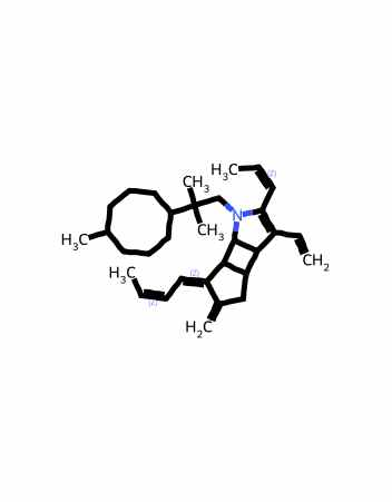 C=CC1=C(/C=C\C)N(CC(C)(C)C2CCCC(C)CCC2)C2C1C1CC(=C)/C(=C\C=C/C)C12